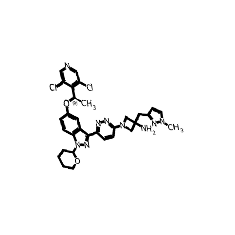 C[C@@H](Oc1ccc2c(c1)c(-c1ccc(N3CC(N)(Cc4ccn(C)n4)C3)nn1)nn2C1CCCCO1)c1c(Cl)cncc1Cl